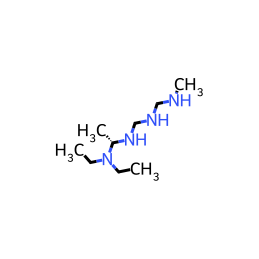 CCN(CC)[C@H](C)NCNCNC